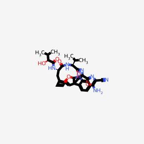 CC(C)[C@H](O)C(=O)N[C@H]1Cc2ccc3c(c2)C2(c4ccccc4NC2O3)c2oc(nc2-c2nc(C#N)c(N)o2)[C@H](C(C)C)NC1=O